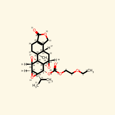 CCOCCOC(=O)O[C@@H]1[C@@]2(C(C)C)O[C@H]2[C@@H]2O[C@]23[C@]12O[C@H]2C[C@H]1C2=C(CC[C@@]13C)C(=O)OC2